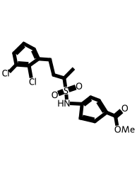 COC(=O)c1ccc(NS(=O)(=O)C(C)CCc2cccc(Cl)c2Cl)cc1